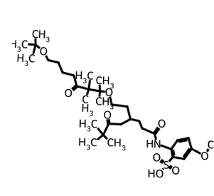 COc1ccc(NC(=O)CCC(CCOC(C)(C)C(C)(C)C(=O)CCCCOC(C)(C)C)CC(=O)C(C)(C)C)c(S(=O)(=O)O)c1